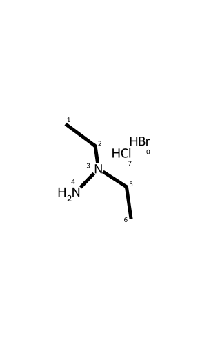 Br.CCN(N)CC.Cl